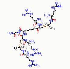 CC(C)(CNC(=O)[C@H](N)CCCNC(=N)N)SSC[C@@H](NC(=O)[C@H](N)CCCNC(=N)N)C(=O)CCCCC[C@@H](NC(=O)[C@@H](CSSC(C)(C)CNC(=O)[C@H](N)CCCNC(=N)N)NC(=O)[C@H](N)CCCNC(=N)N)C(=O)NCC(N)=O